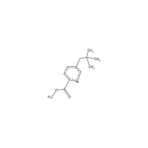 COC(=O)c1ccc(CC(C)(C)C)cn1